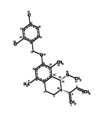 C=CC(=C)[C@@H]1CCc2c(C)cc(OCc3ccc(Cl)cc3Cl)c(C)c2[C@@H]1OC